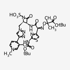 Cc1c[n+](C)ccc1-c1cn(C[C@@H]2[C@H](NC(=O)/C(=N\OC(C)(C)C(=O)OC(C)(C)C)c3csc(NC(=O)OC(C)(C)C)n3)C(=O)N2S(=O)(=O)O)nn1